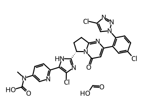 CN(C(=O)O)c1ccc(-c2[nH]c([C@@H]3CCc4nc(-c5cc(Cl)ccc5-n5cc(Cl)nn5)cc(=O)n43)nc2Cl)nc1.O=CO